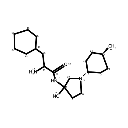 C[C@H]1CC[C@H](N2CCC(C#N)(NC(=O)C(N)CC3CCCCC3)C2)CC1